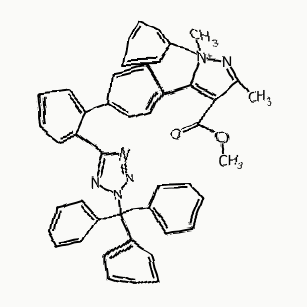 COC(=O)C1=C(c2ccc(-c3ccccc3-c3nnn(C(c4ccccc4)(c4ccccc4)c4ccccc4)n3)cc2)[N+](C)(c2ccccc2)N=C1C